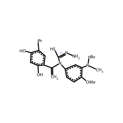 C=C(c1cc(C(C)C)c(O)cc1O)N(/C(S)=N\N)c1ccc(OC)c(N(C)CCCC)c1